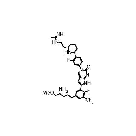 COC[C@H](N)CCCc1cc(-c2cc3cn(-c4ccc([C@@H]5CCC[C@@H](CCNC(C)=N)N5)c(F)c4)c(=O)nc3[nH]2)c(F)c(C(F)(F)F)c1